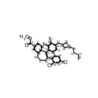 COC(=O)c1ccc2c(c1)CCCC(c1ccc(Cl)cc1Cl)=C2c1ccc(CC2CN(CCCF)C2)c(F)c1F